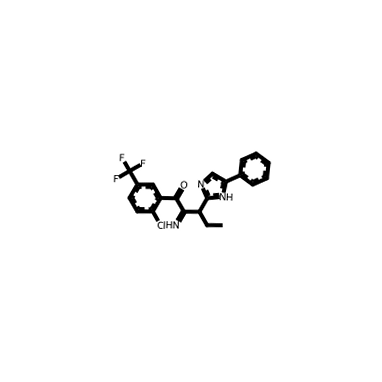 CCC(C(=N)C(=O)c1cc(C(F)(F)F)ccc1Cl)c1ncc(-c2ccccc2)[nH]1